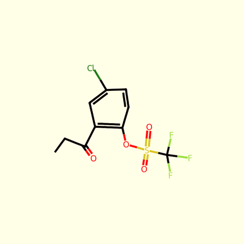 CCC(=O)c1cc(Cl)ccc1OS(=O)(=O)C(F)(F)F